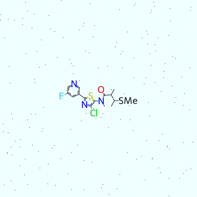 CSC(C)C(C)C(=O)N(C)c1sc(-c2cncc(F)c2)nc1Cl